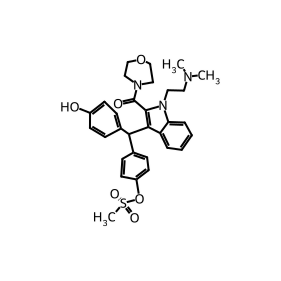 CN(C)CCn1c(C(=O)N2CCOCC2)c(C(c2ccc(O)cc2)c2ccc(OS(C)(=O)=O)cc2)c2ccccc21